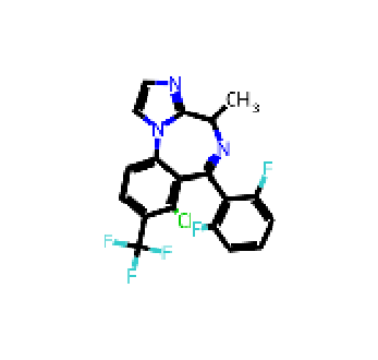 CC1N=C(c2c(F)cccc2F)c2c(ccc(C(F)(F)F)c2Cl)-n2ccnc21